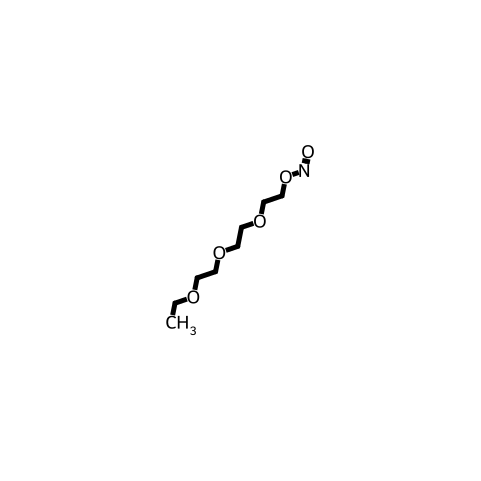 CCOCCOCCOCCON=O